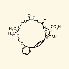 CO[C@@]12C[C@@H](C(=O)O)N(C1)C(=O)CNC(=O)OCCC(C)(C)CCCc1ccccc1-c1ccc2cc1